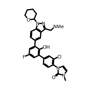 CNCc1nn(C2CCCCO2)c2ccc(-c3cc(F)cc(-c4ccc(-n5ccn(C)c5=O)c(Cl)c4)c3O)cc12